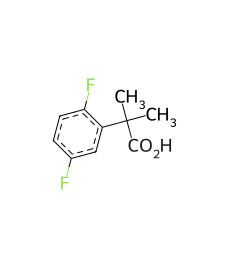 CC(C)(C(=O)O)c1cc(F)ccc1F